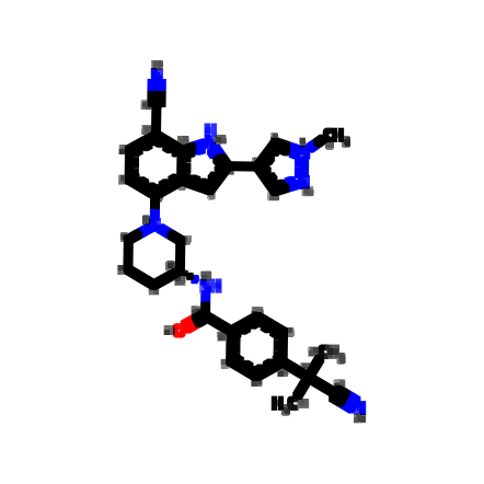 Cn1cc(-c2cc3c(N4CCC[C@@H](NC(=O)c5ccc(C(C)(C)C#N)cc5)C4)ccc(C#N)c3[nH]2)cn1